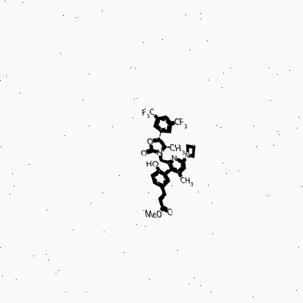 COC(=O)CCc1ccc(O)c(-c2c(C)cc(N3CCC3)nc2CN2C(=O)O[C@H](c3cc(C(F)(F)F)cc(C(F)(F)F)c3)[C@@H]2C)c1